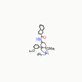 COC12CC[C@H](NC(=O)c3ccc4ccccc4c3)C[C@@]1(c1cccc(OC(C)=O)c1)CC[N@@+](C)(CC(C)C)C2